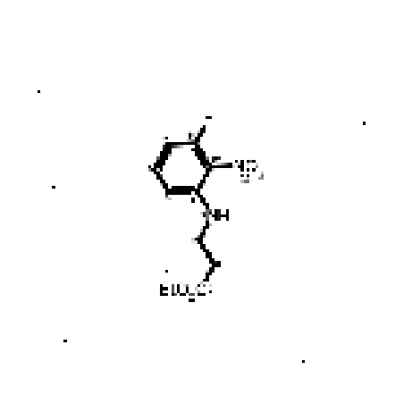 CCOC(=O)CCNc1cccc(F)c1[N+](=O)[O-]